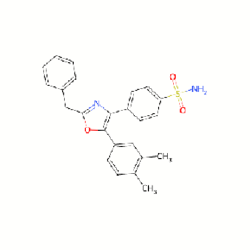 Cc1ccc(-c2oc(Cc3ccccc3)nc2-c2ccc(S(N)(=O)=O)cc2)cc1C